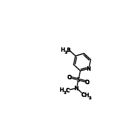 Bc1ccnc(S(=O)(=O)N(C)C)c1